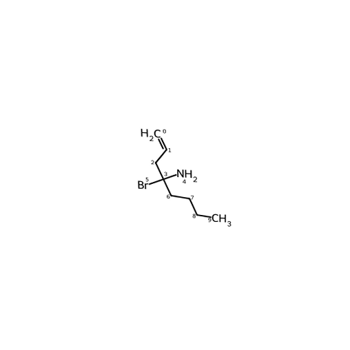 C=CCC(N)(Br)CCCC